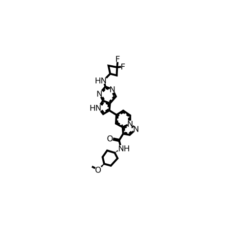 CO[C@H]1CC[C@H](NC(=O)c2cnn3ccc(-c4c[nH]c5nc(NC6CC(F)(F)C6)ncc45)cc23)CC1